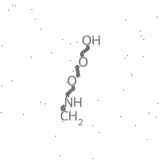 C=CNCCOCCOCCO